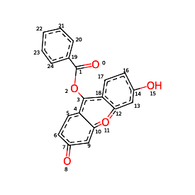 O=C(Oc1c2ccc(=O)cc-2oc2cc(O)ccc12)c1ccccc1